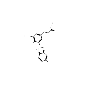 CCCCCCCCOC(=O)CCc1cc(-n2nc3ccc(Cl)cc3n2)c(O)c(C(C)(C)C)c1